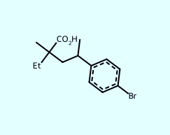 CCC(C)(CC(C)c1ccc(Br)cc1)C(=O)O